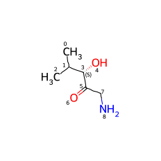 CC(C)[C@H](O)C(=O)CN